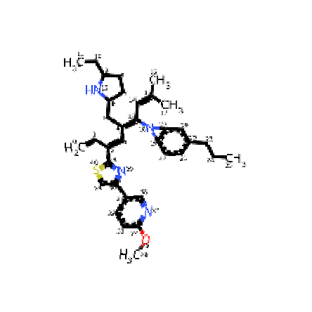 C=C/C(=C\C(CC1CCC(CC)N1)=C(\C=C(C)C)N1c2ccc(CCC)cc21)c1nc(-c2ccc(OC)nc2)cs1